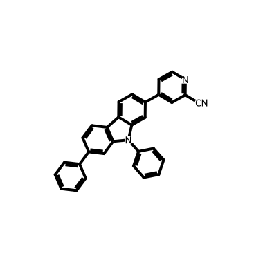 N#Cc1cc(-c2ccc3c4ccc(-c5ccccc5)cc4n(-c4ccccc4)c3c2)ccn1